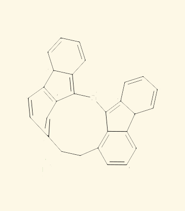 C1=CC2=[C]3[Zr+2][C]4=C5C=CC=CC5c5cccc(c54)CCc4ccc(c3c4)C2C=C1.[Cl-].[Cl-]